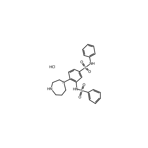 Cl.O=S(=O)(Nc1ccccc1)c1ccc(N2CCCNCC2)c(NS(=O)(=O)c2ccccc2)c1